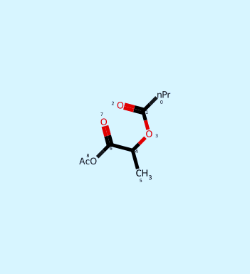 CCCC(=O)OC(C)C(=O)OC(C)=O